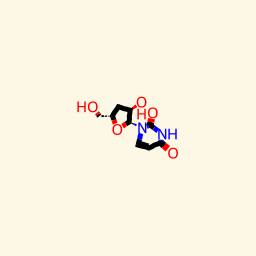 O=c1ccn([C@@H]2O[C@H](CO)C[C@H]2O)c(=O)[nH]1